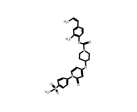 C/C=C\c1ccc(OC(=O)N2CCC(Oc3ccn(-c4ccc(S(C)(=O)=O)cc4)c(=O)c3)CC2)c(C)c1